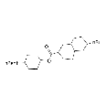 CCCCCC1CCC(OC(=O)C2CCC3CC(CCCC)CCC3C2)CC1